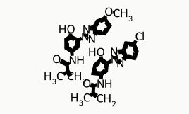 C=C(C)C(=O)Nc1ccc(O)c(-n2nc3ccc(Cl)cc3n2)c1.C=C(C)C(=O)Nc1ccc(O)c(-n2nc3ccc(OC)cc3n2)c1